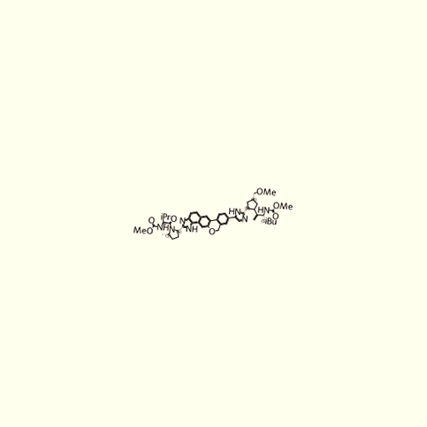 C=C(C(NC(=O)OC)[C@@H](C)CC)C1C[C@@H](COC)C[C@H]1c1ncc(-c2ccc3c(c2)COc2cc4c(ccc5nc([C@@H]6CC[C@H](C)N6C(=O)[C@@H](NC(=O)OC)C(C)C)[nH]c54)cc2-3)[nH]1